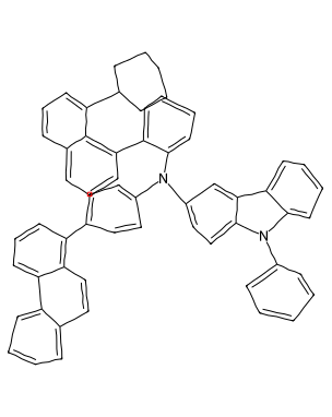 c1ccc(-n2c3ccccc3c3cc(N(c4ccc(-c5cccc6c5ccc5ccccc56)cc4)c4ccccc4-c4cccc5cccc(C6CCCCC6)c45)ccc32)cc1